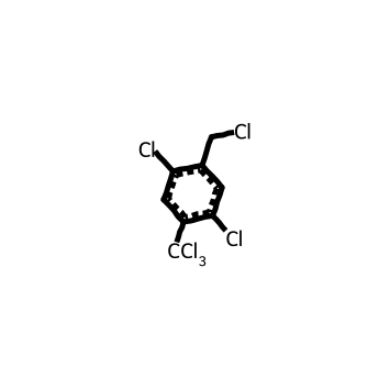 ClCc1cc(Cl)c(C(Cl)(Cl)Cl)cc1Cl